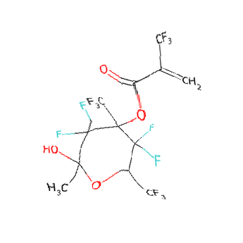 C=C(C(=O)OC1(C(F)(F)F)C(F)(F)C(C(F)(F)F)OC(C)(O)C1(F)F)C(F)(F)F